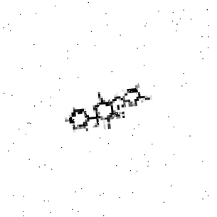 CC1=N[N+](CC2=C(C)CC(C)(c3cccnc3)NC2=O)(C(C)C)C=C1